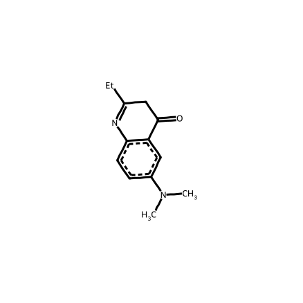 CCC1=Nc2ccc(N(C)C)cc2C(=O)C1